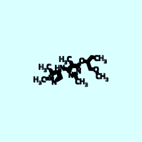 CCC(COC)Oc1nc(C)nc(Nc2cnn(C)c2C)c1C